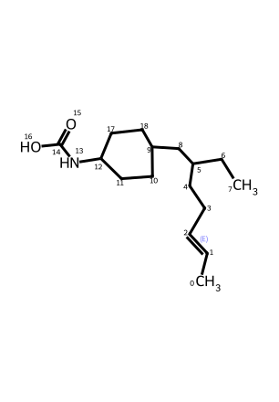 C/C=C/CCC(CC)CC1CCC(NC(=O)O)CC1